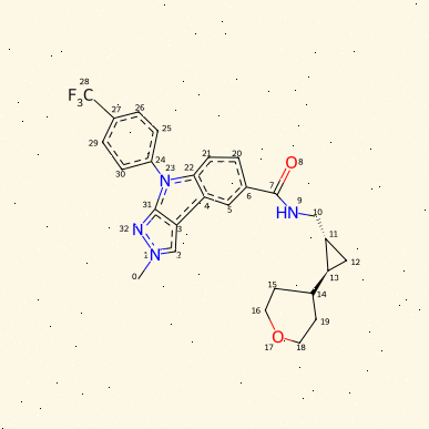 Cn1cc2c3cc(C(=O)NC[C@@H]4C[C@H]4C4CCOCC4)ccc3n(-c3ccc(C(F)(F)F)cc3)c2n1